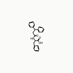 O=C(CC(c1ccccc1)c1ccccc1)NC(Cc1ccccc1)C(=O)O